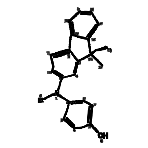 CCN(c1ccc(O)cc1)c1ccc2c(c1)C(C)(C)c1ccccc1-2